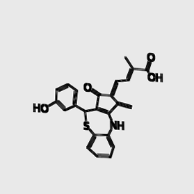 C=C1C2=C(C(=O)/C1=C/C=C(\C)C(=O)O)C(c1cccc(O)c1)Sc1ccccc1N2